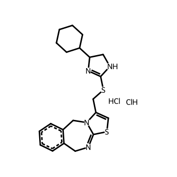 C1=C(CSC2=NC(C3CCCCC3)CN2)N2Cc3ccccc3CN=C2S1.Cl.Cl